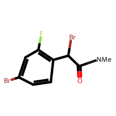 CNC(=O)C(Br)c1ccc(Br)cc1F